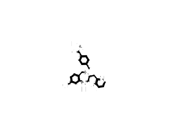 COC(=O)c1ccc(CN2Cc3ccc(Cl)cc3NC(=O)C2Cc2ccccn2)cc1